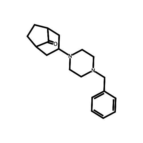 O=C1C2CCC1CC(N1CCN(Cc3ccccc3)CC1)C2